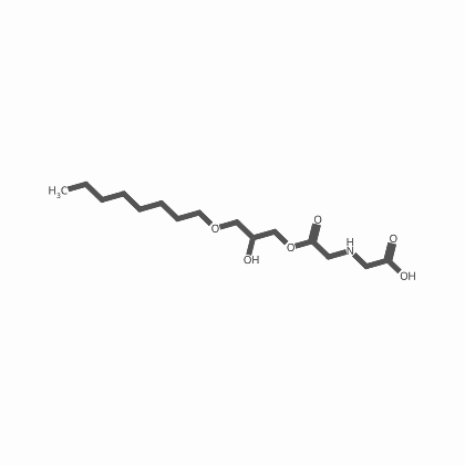 CCCCCCCCOCC(O)COC(=O)CNCC(=O)O